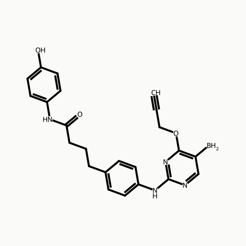 Bc1cnc(Nc2ccc(CCCC(=O)Nc3ccc(O)cc3)cc2)nc1OCC#C